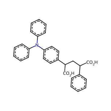 O=C(O)C(CC(C(=O)O)c1ccc(N(c2ccccc2)c2ccccc2)cc1)c1ccccc1